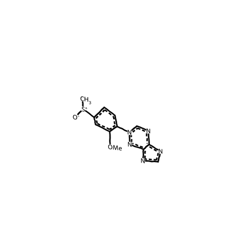 COc1cc([S+](C)[O-])ccc1-n1cnc2ncnc-2n1